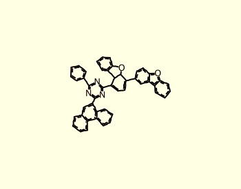 C1=C(c2ccc3oc4ccccc4c3c2)C2Oc3ccccc3C2C(c2nc(-c3ccccc3)nc(-c3cc4ccccc4c4ccccc34)n2)=C1